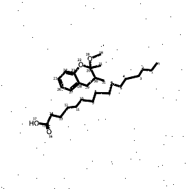 CCCCCCCCCCCCCCCC(=O)O.COC1(C)Oc2ccccc2CC1C